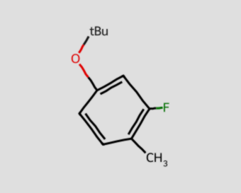 Cc1ccc(OC(C)(C)C)cc1F